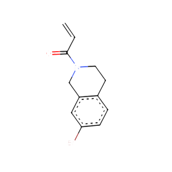 C=CC(=O)N1CCc2ccc(Br)cc2C1